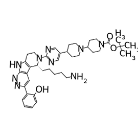 CC(C)(C)OC(=O)N1CCC(N2CCC(c3cnc(N4CCc5[nH]c6nnc(-c7ccccc7O)cc6c5[C@H]4CCCCCN)nc3)CC2)CC1